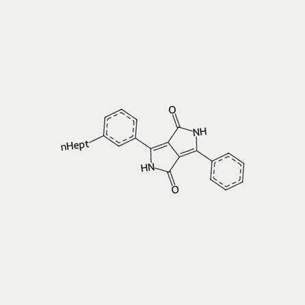 CCCCCCCc1cccc(C2=C3C(=O)NC(c4ccccc4)=C3C(=O)N2)c1